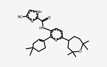 CC1(C)CC=C(c2nc(C3CCC(C)(C)OC(C)(C)C3)ccc2NC(=O)c2nc(C#N)c[nH]2)CC1